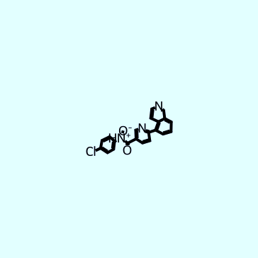 O=C(c1ccc(-c2cccc3cnccc23)nc1)[NH+]([O-])c1ccc(Cl)cc1